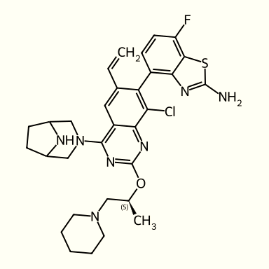 C=Cc1cc2c(N3CC4CCC(C3)N4)nc(O[C@@H](C)CN3CCCCC3)nc2c(Cl)c1-c1ccc(F)c2sc(N)nc12